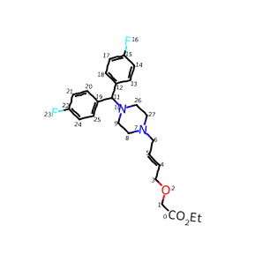 CCOC(=O)COCC=CCN1CCN(C(c2ccc(F)cc2)c2ccc(F)cc2)CC1